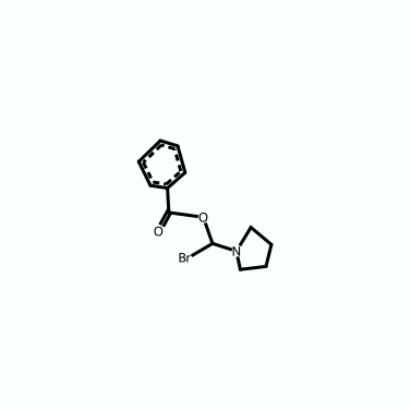 O=C(OC(Br)N1CCCC1)c1ccccc1